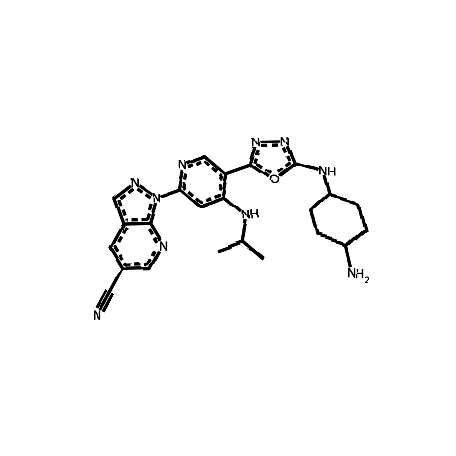 CC(C)Nc1cc(-n2ncc3cc(C#N)cnc32)ncc1-c1nnc(NC2CCC(N)CC2)o1